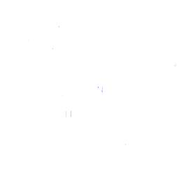 CC(C)(C)OC(=O)NC1(C)CC(=O)c2ccc(Br)cc21